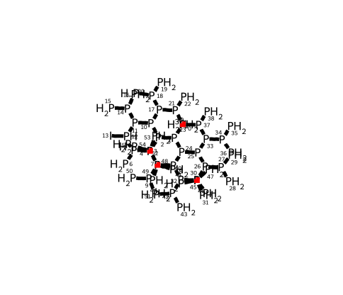 [3H]P(P(P(P(P)P)P(P)P)P(P(PI)P(P)P)P(P(P)P)P(P)P)P(P(P(P(P)P)P(P)P)P(P(P)P)P(P)P)P(P(P(P)P)P(P)P)P(P(P)P)P(P)P